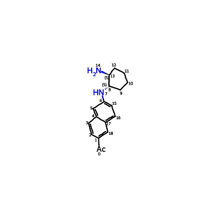 CC(=O)c1ccc2cc(N[C@H]3CCCC[C@@H]3N)ccc2c1